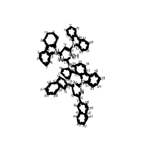 C1=Cc2c(c3ccccc3n2C2=NC(n3c4ccccc4c4c5c(ccc43)c3ccccc3n5-c3nc(-c4ccc5ccccc5c4)cc(-c4ccc5ccccc5c4)n3)NC(n3c4ccccc4c4ccccc43)=C2)CC1